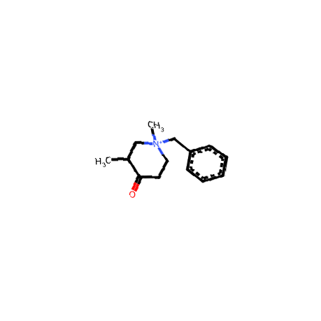 CC1C[N+](C)(Cc2ccccc2)CCC1=O